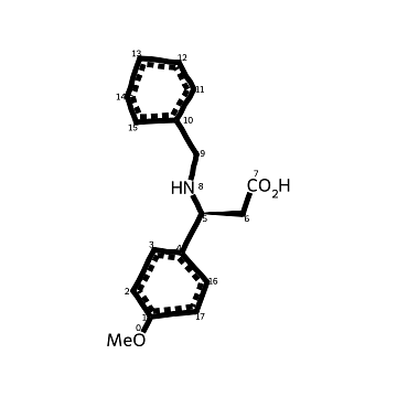 COc1ccc([C@H](CC(=O)O)NCc2ccccc2)cc1